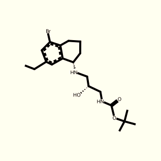 CCc1cc(Br)c2c(c1)[C@@H](NC[C@@H](O)CNC(=O)OC(C)(C)C)CCC2